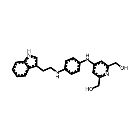 OCc1cc(Nc2ccc(NCCc3c[nH]c4ccccc34)cc2)cc(CO)n1